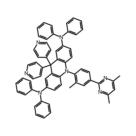 Cc1cc(C)nc(-c2ccc(N3c4ccc(N(c5ccccc5)c5ccccc5)cc4C(c4ccncc4)(c4ccncc4)c4cc(N(c5ccccc5)c5ccccc5)ccc43)c(C)c2)n1